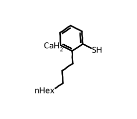 CCCCCCCCCc1ccccc1S.[CaH2]